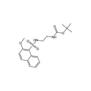 COc1ccc2ccccc2c1S(=O)(=O)NCCNC(=O)OC(C)(C)C